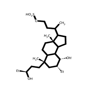 CC[C@H](O)CC[C@@]1(C)C[C@@H](CC)[C@@H](O)C2C1CC[C@]1(C)C(C(C)CCOS(=O)(=O)O)CCC21